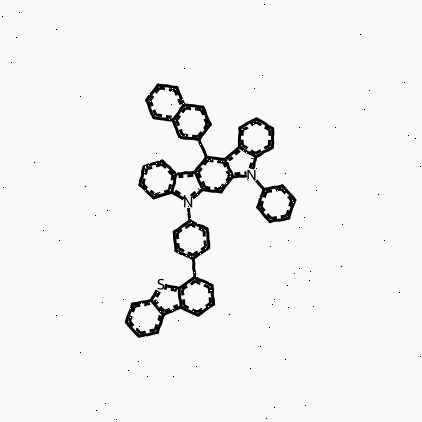 c1ccc(-n2c3ccccc3c3c(-c4ccc5ccccc5c4)c4c5ccccc5n(-c5ccc(-c6cccc7c6sc6ccccc67)cc5)c4cc32)cc1